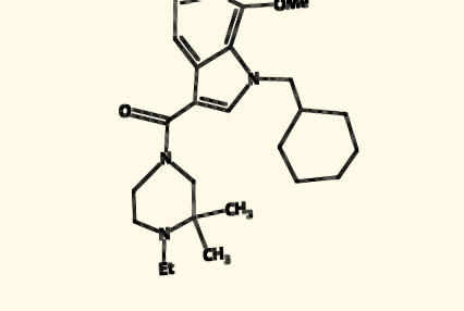 CCN1CCN(C(=O)c2cn(CC3CCCCC3)c3c(OC)cccc23)CC1(C)C